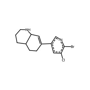 Clc1cc(C2=CC3NCCCC3CC2)cnc1Br